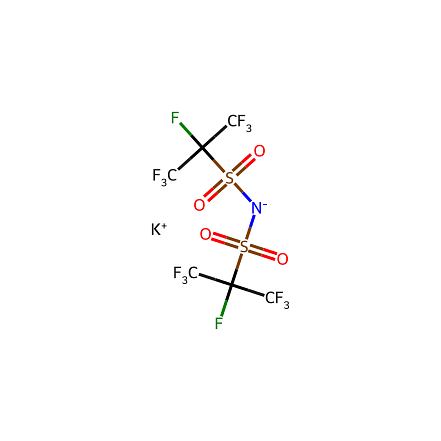 O=S(=O)([N-]S(=O)(=O)C(F)(C(F)(F)F)C(F)(F)F)C(F)(C(F)(F)F)C(F)(F)F.[K+]